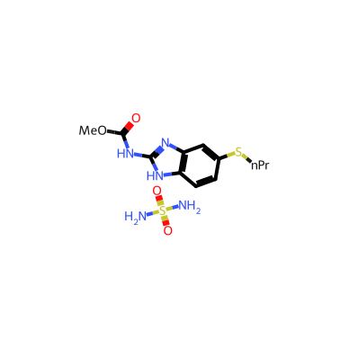 CCCSc1ccc2[nH]c(NC(=O)OC)nc2c1.NS(N)(=O)=O